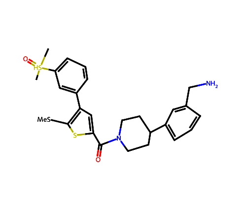 CSc1sc(C(=O)N2CCC(c3cccc(CN)c3)CC2)cc1-c1cccc([SH](C)(C)=O)c1